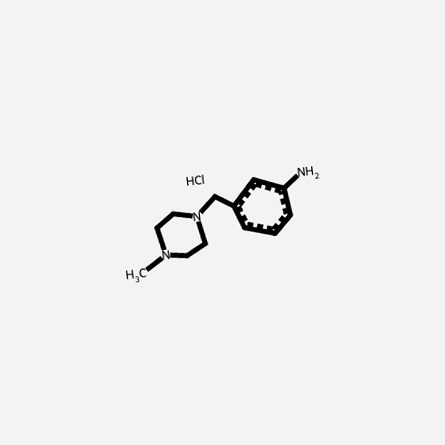 CN1CCN(Cc2cccc(N)c2)CC1.Cl